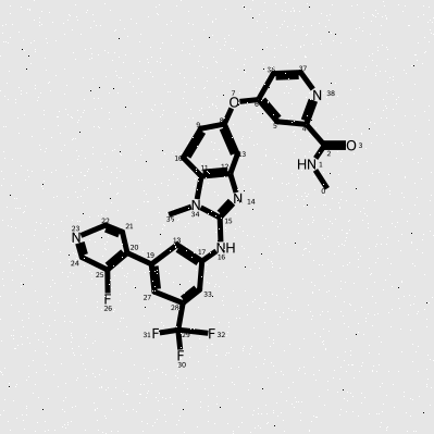 CNC(=O)c1cc(Oc2ccc3c(c2)nc(Nc2cc(-c4ccncc4F)cc(C(F)(F)F)c2)n3C)ccn1